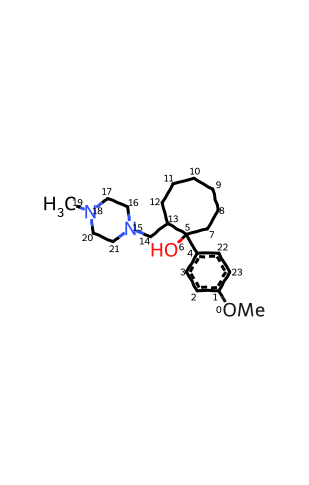 COc1ccc(C2(O)CCCCCCC2CN2CCN(C)CC2)cc1